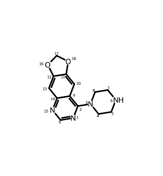 c1nc(N2CCNCC2)c2cc3c(cc2n1)OCO3